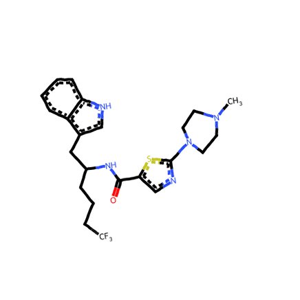 CN1CCN(c2ncc(C(=O)NC(CCCC(F)(F)F)Cc3c[nH]c4ccccc34)s2)CC1